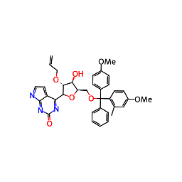 C=CCO[C@H]1C(C2=NC(=O)N=C3N=CC=C32)O[C@H](COC(c2ccccc2)(c2ccc(OC)cc2)c2ccc(OC)cc2C)[C@@H]1O